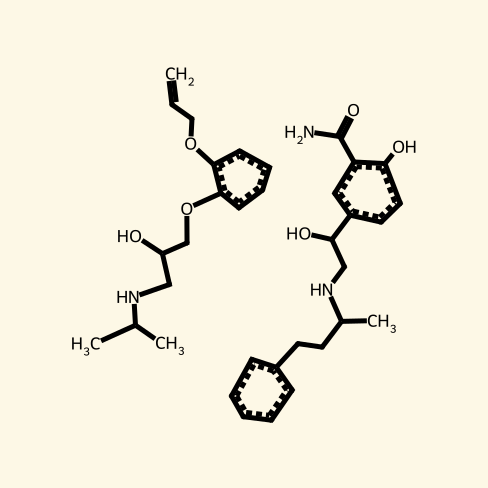 C=CCOc1ccccc1OCC(O)CNC(C)C.CC(CCc1ccccc1)NCC(O)c1ccc(O)c(C(N)=O)c1